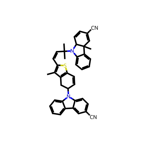 Cc1c(/C=C\C(C)(C)N2c3ccccc3C3(C)C=C(C#N)C=CC23)sc2c1CC(n1c3ccccc3c3cc(C#N)ccc31)C=C2